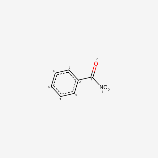 O=C(c1cc[c]cc1)[N+](=O)[O-]